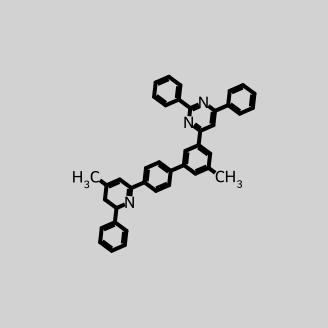 CC1=CC(c2ccc(-c3cc(C)cc(-c4cc(-c5ccccc5)nc(-c5ccccc5)n4)c3)cc2)=NC(c2ccccc2)C1